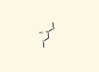 COC[NH][Al][CH3].Cl